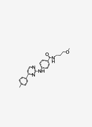 COCCCNC(=O)c1ccc(Nc2nccc(-c3ccc(C)cc3)n2)cc1